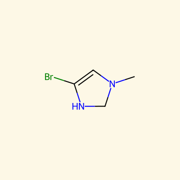 CN1C=C(Br)NC1